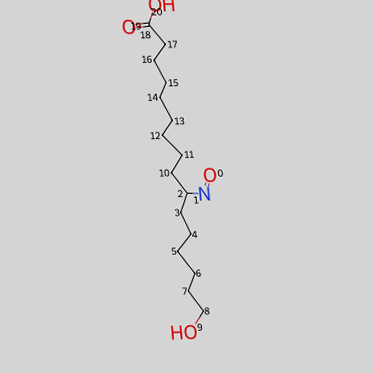 O=NC(CCCCCCO)CCCCCCCCC(=O)O